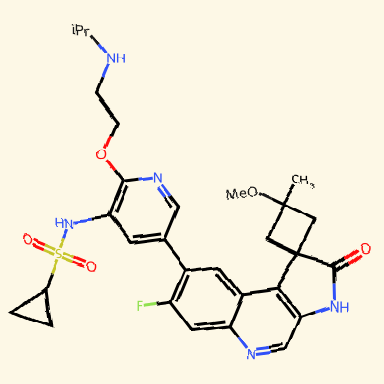 COC1(C)CC2(C1)C(=O)Nc1cnc3cc(F)c(-c4cnc(OCCNC(C)C)c(NS(=O)(=O)C5CC5)c4)cc3c12